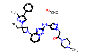 Cc1nn(C2(CC#N)CN(c3cccn4nc(Nc5cnn(CC(=O)N6CCN(C)CC6)c5)nc34)C2)cc1-c1ccccc1.O=CO